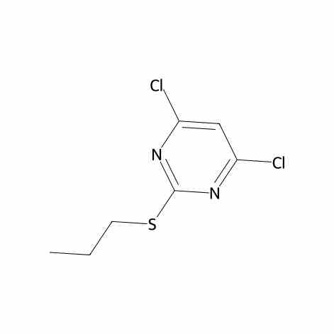 CCCSc1nc(Cl)cc(Cl)n1